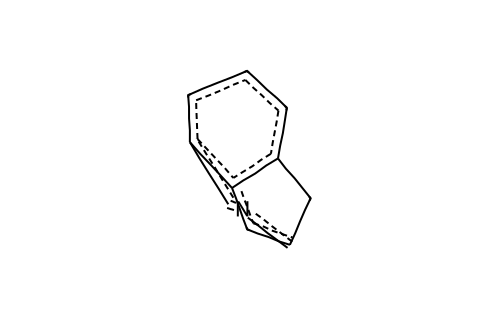 c1cc2c3cc(ncc3c1)C2